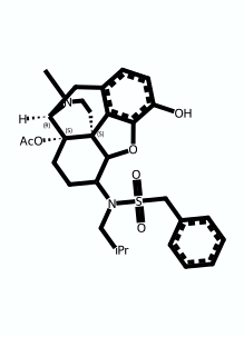 CC(=O)O[C@@]12CCC(N(CC(C)C)S(=O)(=O)Cc3ccccc3)C3Oc4c(O)ccc5c4[C@@]31CCN(C)[C@@H]2C5